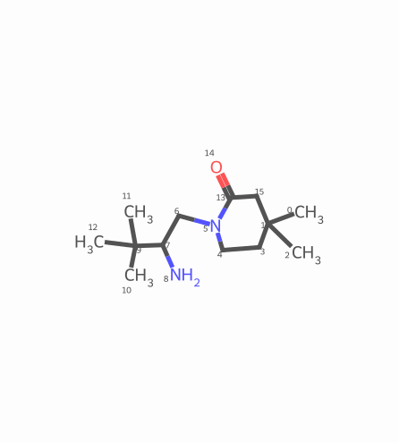 CC1(C)CCN(CC(N)C(C)(C)C)C(=O)C1